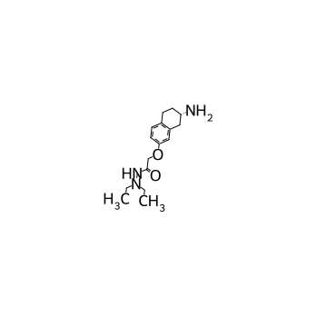 CCN(CC)NC(=O)COc1ccc2c(c1)C[C@@H](N)CC2